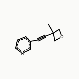 CC1(C#Cc2c[c]cnc2)COC1